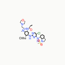 C=CC(=O)Nc1cc(Nc2ncc(Cl)c(Nc3cccc4c3N(S(C)(=O)=O)CC4)n2)c(OC)cc1N(C)CCN1CCOCC1